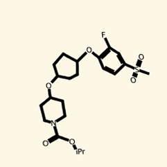 CC(C)OC(=O)N1CCC(OC2CCC(Oc3ccc(S(C)(=O)=O)cc3F)CC2)CC1